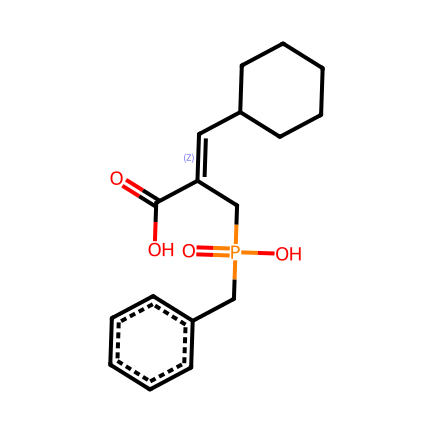 O=C(O)/C(=C/C1CCCCC1)CP(=O)(O)Cc1ccccc1